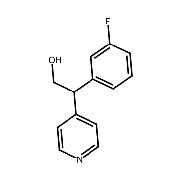 OCC(c1ccncc1)c1cccc(F)c1